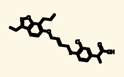 CCCc1c(OCC=CCSc2ccc(C(C)C(=O)O)cc2Cl)ccc2c(CC)noc12